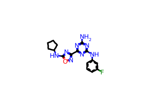 Nc1nc(Nc2cccc(F)c2)nc(-c2noc(NC3CCCC3)n2)n1